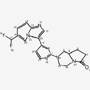 O=C1CCC2CN(c3cc(-c4cnc5ccc(C(F)F)cn45)ccn3)CCN12